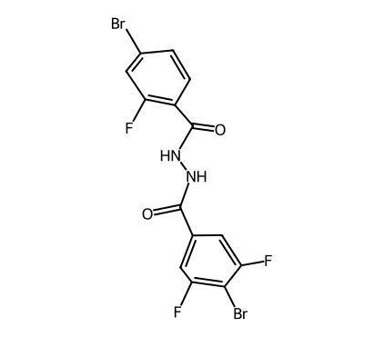 O=C(NNC(=O)c1ccc(Br)cc1F)c1cc(F)c(Br)c(F)c1